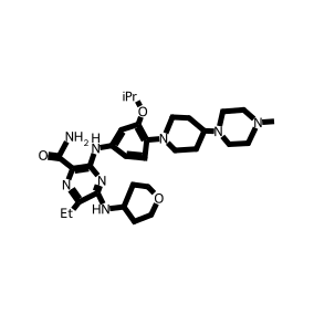 CCc1nc(C(N)=O)c(Nc2ccc(N3CCC(N4CCN(C)CC4)CC3)c(OC(C)C)c2)nc1NC1CCOCC1